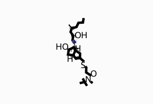 CCCC[C@H](C)C[C@H](O)/C=C/[C@@H]1[C@H]2CC(CSCCC(=O)N(C)C(C)(C)C)=C[C@H]2C[C@H]1O